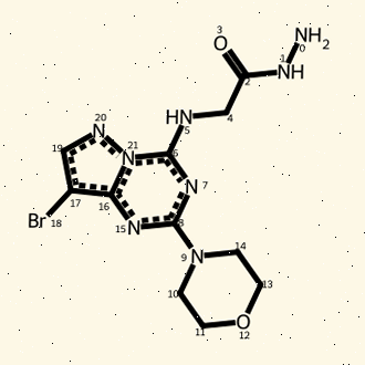 NNC(=O)CNc1nc(N2CCOCC2)nc2c(Br)cnn12